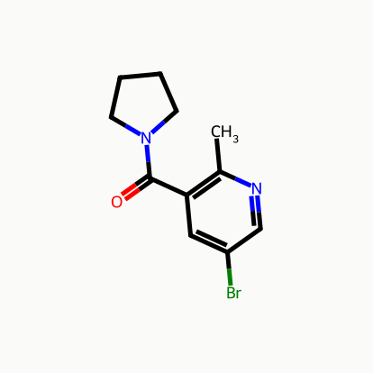 Cc1ncc(Br)cc1C(=O)N1CCCC1